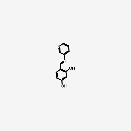 Oc1ccc(C=Nc2cccnc2)c(O)c1